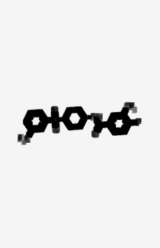 O=C(N[C@H]1CC[C@H](S(=O)(=O)c2cccc(C(F)(F)F)c2)CC1)c1ccc(F)c(C(F)(F)F)c1